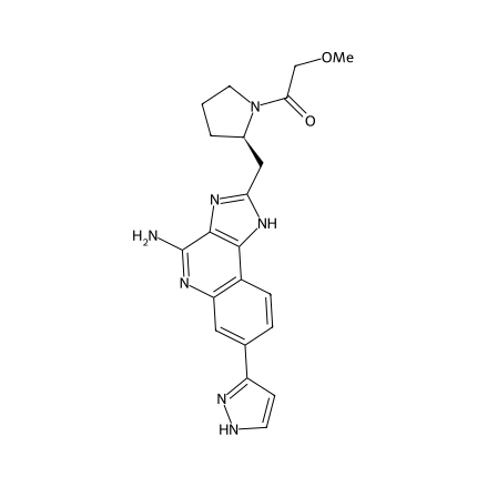 COCC(=O)N1CCC[C@@H]1Cc1nc2c(N)nc3cc(-c4cc[nH]n4)ccc3c2[nH]1